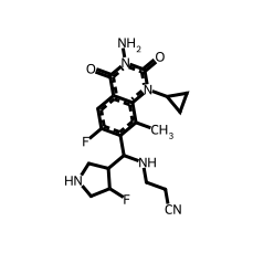 Cc1c(C(NCCC#N)C2CNCC2F)c(F)cc2c(=O)n(N)c(=O)n(C3CC3)c12